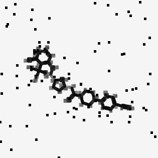 N#Cc1ccc(N2CCN(C(=O)C[C@@H]3CC[C@H](COc4cn[nH]c(=O)c4C(F)(F)F)O3)CC2)nc1